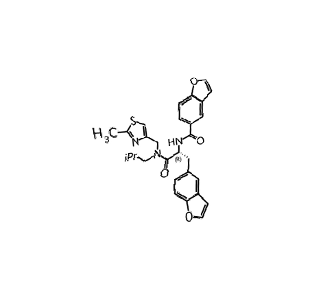 Cc1nc(CN(CC(C)C)C(=O)[C@@H](Cc2ccc3occc3c2)NC(=O)c2ccc3occc3c2)cs1